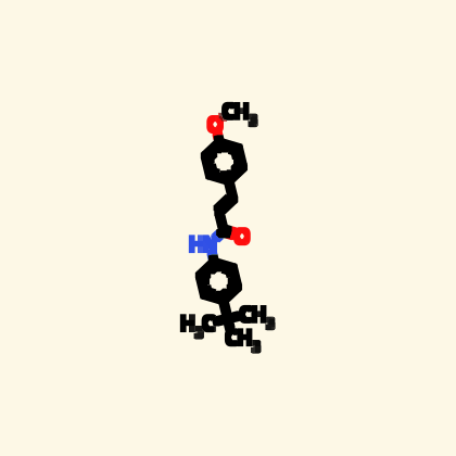 COc1ccc(/C=C/C(=O)Nc2ccc(C(C)(C)C)cc2)cc1